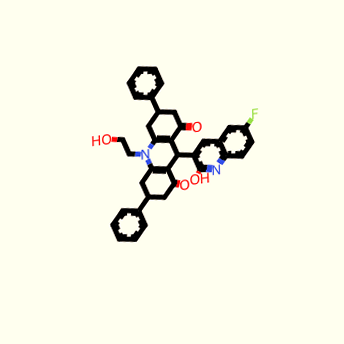 O=C1CC(c2ccccc2)CC2=C1C(c1cc3cc(F)ccc3nc1O)C1=C(CC(c3ccccc3)CC1=O)N2CCO